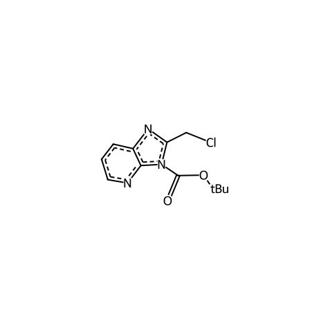 CC(C)(C)OC(=O)n1c(CCl)nc2cccnc21